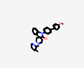 COc1ccc(-c2ccc(N3C(=O)C4(CCN(Cc5ncccc5C)CC4)c4ccccc43)cc2)cc1